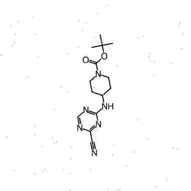 CC(C)(C)OC(=O)N1CCC(Nc2ncnc(C#N)n2)CC1